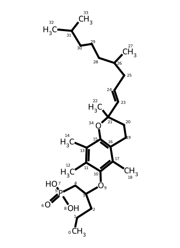 CCCC(CP(=O)(O)O)Oc1c(C)c(C)c2c(c1C)CCC(C)(/C=C/CC(C)CCCC(C)C)O2